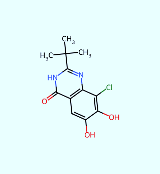 CC(C)(C)c1nc2c(Cl)c(O)c(O)cc2c(=O)[nH]1